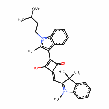 COC(C)CCn1c(C)c(C2=C(O)/C(=C/C3=[N+](C)c4ccccc4C3(C)C)C2=O)c2ccccc21